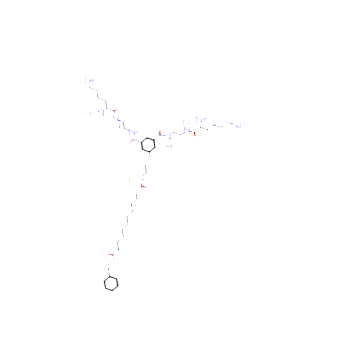 NCCCCC(N)C(=O)NCCNC(=O)c1cc(OCCNC(=O)CCCCCCCCCCC(=O)OCc2ccccc2)cc(C(=O)NCCNC(=O)[C@@H](N)CCCCN)c1